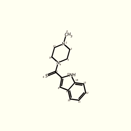 CN1CCN(C(=S)c2cc3ccccc3[nH]2)CC1